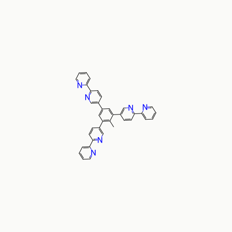 Cc1c(-c2ccc(-c3ccccn3)nc2)cc(-c2ccc(-c3ccccn3)nc2)cc1-c1ccc(-c2ccccn2)nc1